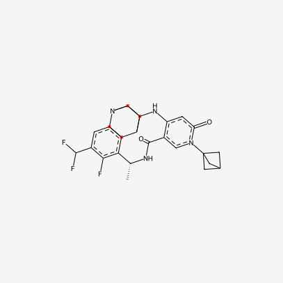 C[C@@H](NC(=O)c1cn(C23CC(C2)C3)c(=O)cc1NC1CN2CCC1CC2)c1cccc(C(F)F)c1F